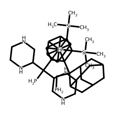 C[Si](C)(C)[C]12[CH]3[C]4(C(P)(C5CNCCN5)C5CNCCN5)[C]5(C6(CP)C7CC8CC(C7)CC6C8)[C]1([Si](C)(C)C)[Fe]34521678[CH]2[CH]1[CH]6[CH]7[CH]28